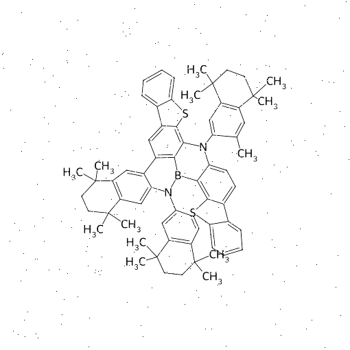 Cc1cc2c(cc1N1c3ccc4c(sc5ccccc54)c3B3c4c(cc5c(sc6ccccc65)c41)-c1cc4c(cc1N3c1ccc3c(c1)C(C)(C)CCC3(C)C)C(C)(C)CCC4(C)C)C(C)(C)CCC2(C)C